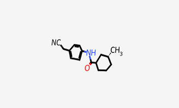 C[C@@H]1CCCC(C(=O)Nc2ccc(CC#N)cc2)C1